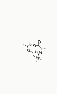 CC(=O)OCC[N+](C)(C)C.C[C@H](N)C(=O)[O-]